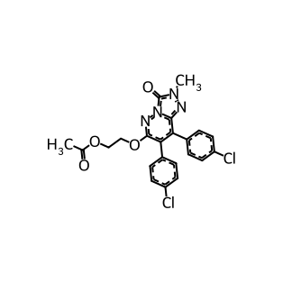 CC(=O)OCCOc1nn2c(=O)n(C)nc2c(-c2ccc(Cl)cc2)c1-c1ccc(Cl)cc1